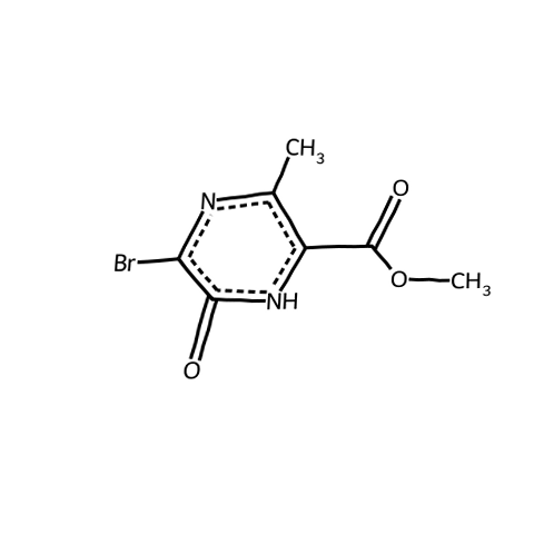 COC(=O)c1[nH]c(=O)c(Br)nc1C